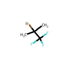 CC(C)(Br)C(F)(F)F